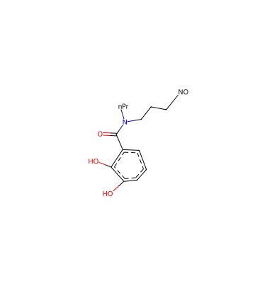 CCCN(CCCN=O)C(=O)c1cccc(O)c1O